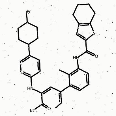 C/C=C(\C=C(\Nc1ccc(C2CCC(C(C)C)CC2)cn1)C(=O)CC)c1cccc(NC(=O)c2cc3c(s2)CCCC3)c1C